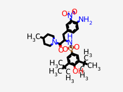 CC1CCN(C(=O)C(Cc2ccc(N)c([N+](=O)[O-])c2)NS(=O)(=O)c2cc(C(C)(C)C)c(O)c(C(C)(C)C)c2)CC1